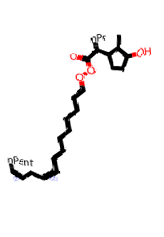 CCCCC/C=C\C/C=C\CCCCCCCCOOC(=O)C(CCC)C1CCC(O)C1C